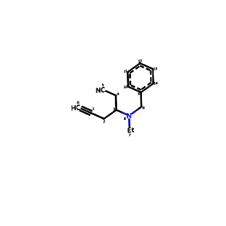 C#CCC(CC#N)N(CC)Cc1ccccc1